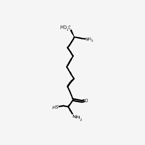 NC(S)C(=O)CCCCC[C@H](N)C(=O)O